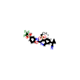 CCS(=O)(=O)c1c(-c2nc3cc(S(=O)(=O)C(F)(F)F)ccc3o2)ncc2cc(C3(C#N)CC3)ccc12